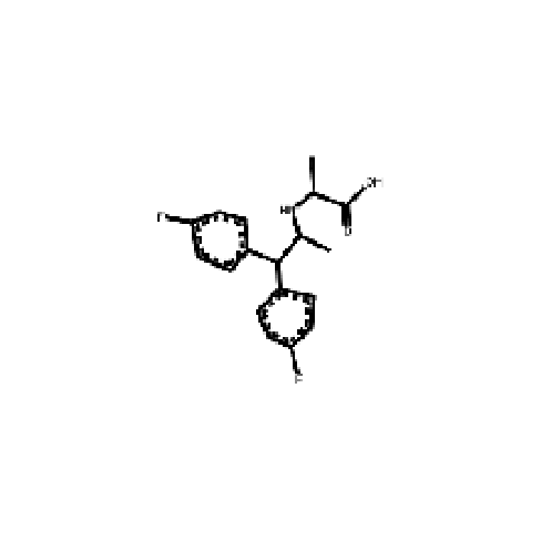 CC(N[C@@H](C)C(=O)O)C(c1ccc(F)cc1)c1ccc(F)cc1